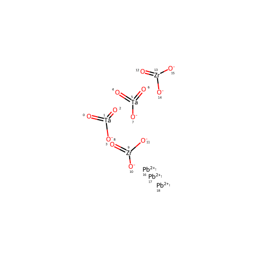 [O]=[Ta](=[O])[O-].[O]=[Ta](=[O])[O-].[O]=[Zr]([O-])[O-].[O]=[Zr]([O-])[O-].[Pb+2].[Pb+2].[Pb+2]